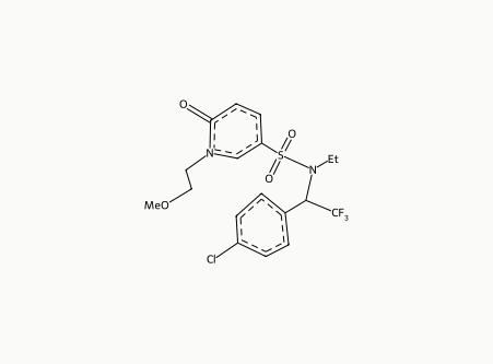 CCN(C(c1ccc(Cl)cc1)C(F)(F)F)S(=O)(=O)c1ccc(=O)n(CCOC)c1